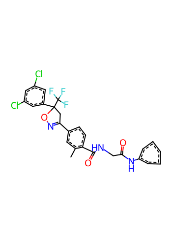 Cc1cc(C2=NOC(c3cc(Cl)cc(Cl)c3)(C(F)(F)F)C2)ccc1C(=O)NCC(=O)Nc1ccccc1